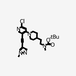 CN(CCC1CCN(c2cc(Cl)ncc2C#Cc2cnn(C)c2)CC1)C(=O)OC(C)(C)C